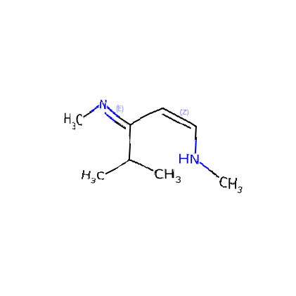 C/N=C(/C=C\NC)C(C)C